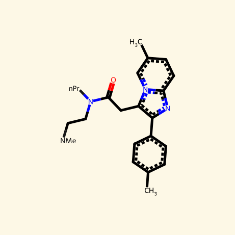 CCCN(CCNC)C(=O)Cc1c(-c2ccc(C)cc2)nc2ccc(C)cn12